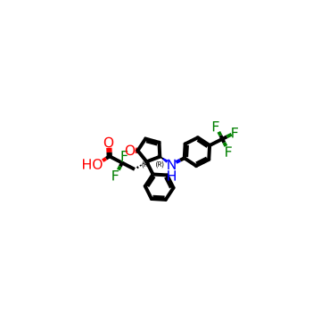 O=C(O)C(F)(F)C[C@]1(c2ccccc2)C(=O)C=C[C@H]1Nc1ccc(C(F)(F)F)cc1